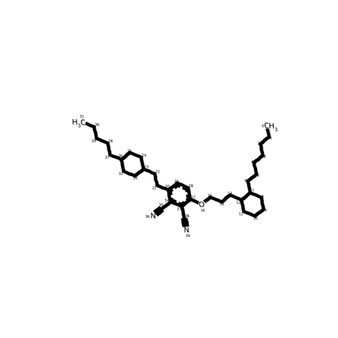 CCCCCCCC1CCCCC1CCCOc1ccc(CCC2CCC(CCCCC)CC2)c(C#N)c1C#N